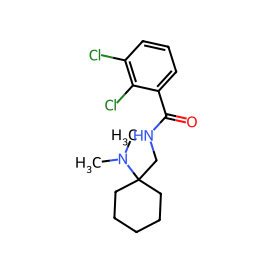 CN(C)C1(CNC(=O)c2cccc(Cl)c2Cl)CCCCC1